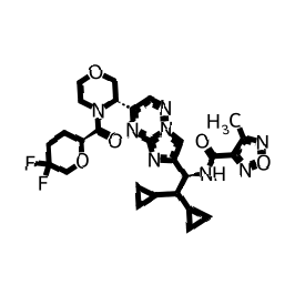 Cc1nonc1C(=O)N[C@H](c1cn2ncc([C@H]3COCCN3C(=O)[C@@H]3CCC(F)(F)CO3)nc2n1)C(C1CC1)C1CC1